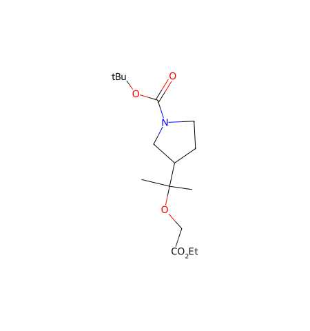 CCOC(=O)COC(C)(C)C1CCN(C(=O)OC(C)(C)C)C1